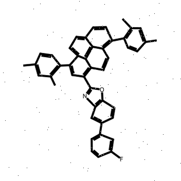 Cc1ccc(-c2ccc3ccc4c(-c5ccc(C)cc5C)cc(-c5nc6cc(-c7cccc(F)c7)ccc6o5)c5ccc2c3c54)c(C)c1